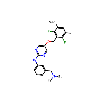 CCN(CC)Cc1cccc(Nc2ncc(OCc3c(F)c(C)cc(OC)c3F)cn2)c1